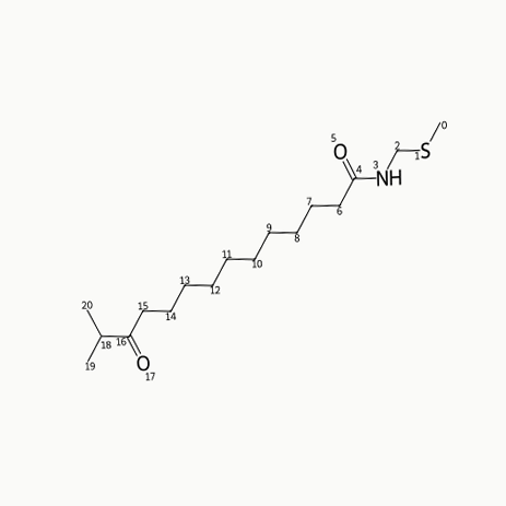 CSCNC(=O)CCCCCCCCCCC(=O)C(C)C